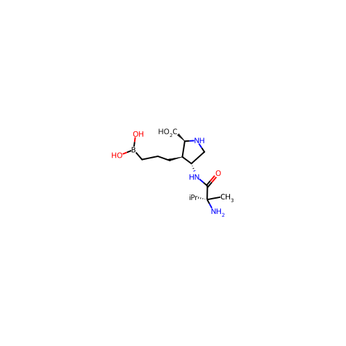 CC(C)[C@](C)(N)C(=O)N[C@H]1CN[C@H](C(=O)O)[C@@H]1CCCB(O)O